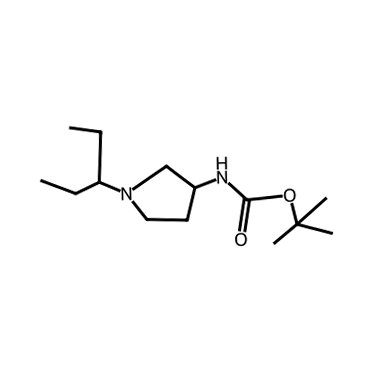 CCC(CC)N1CCC(NC(=O)OC(C)(C)C)C1